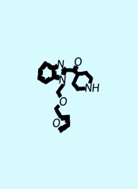 O=C(c1nc2ccccc2n1CCOCc1ccco1)C1CCNCC1